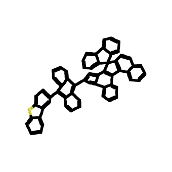 c1ccc2c(c1)-c1ccccc1C21c2ccc3ccccc3c2-c2c1c1ccc(-c3c4ccccc4c(-c4ccc5sc6ccccc6c5c4)c4ccccc34)cc1c1ccccc21